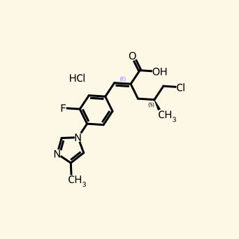 Cc1cn(-c2ccc(/C=C(\C[C@H](C)CCl)C(=O)O)cc2F)cn1.Cl